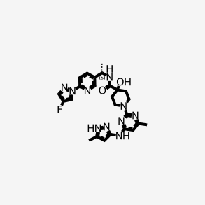 Cc1cc(Nc2cc(C)[nH]n2)nc(N2CCC(O)(C(=O)N[C@@H](C)c3ccc(-n4cc(F)cn4)nc3)CC2)n1